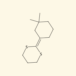 CC1(C)CCCC(=C2SCCCS2)C1